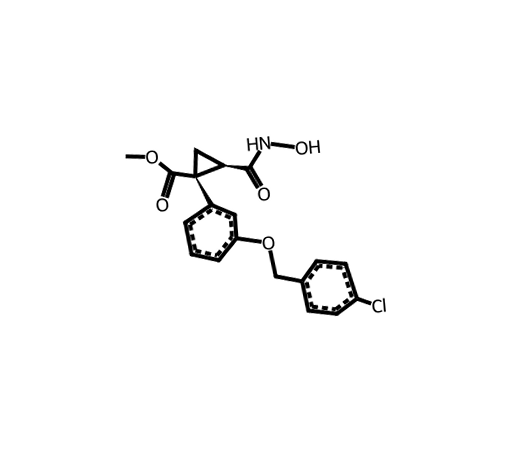 COC(=O)[C@]1(c2cccc(OCc3ccc(Cl)cc3)c2)C[C@H]1C(=O)NO